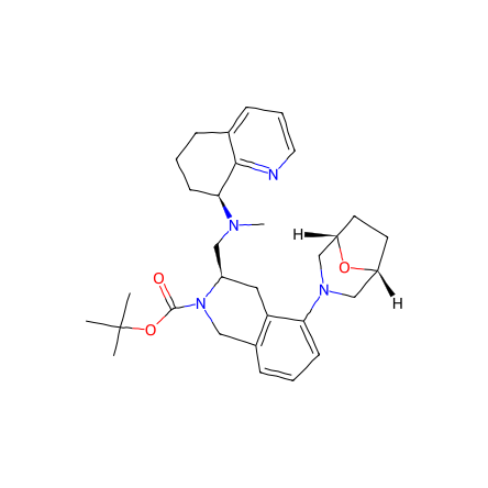 CN(C[C@H]1Cc2c(cccc2N2C[C@H]3CC[C@@H](C2)O3)CN1C(=O)OC(C)(C)C)[C@H]1CCCc2cccnc21